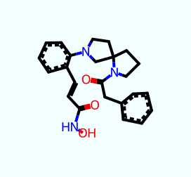 O=C(C=Cc1ccccc1N1CCC2(CCCN2C(=O)Cc2ccccc2)C1)NO